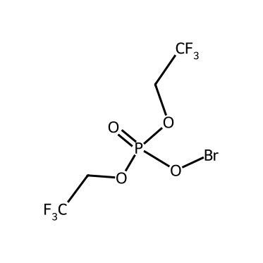 O=P(OBr)(OCC(F)(F)F)OCC(F)(F)F